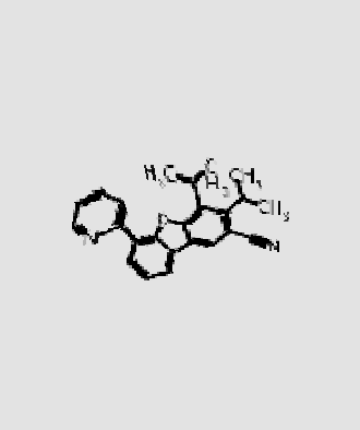 CC(C)c1c(C#N)cc2c(oc3c(-c4ccccn4)cccc32)c1C(C)C